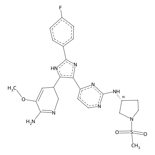 COC1=CC(c2[nH]c(-c3ccc(F)cc3)nc2-c2ccnc(N[C@@H]3CCN(S(C)(=O)=O)C3)n2)CN=C1N